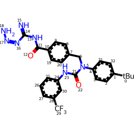 CC(C)(C)c1ccc(N(Cc2ccc(C(=O)NC(=N)/N=N\N)cc2)C(=O)Nc2cccc(C(F)(F)F)c2)cc1